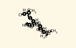 CCOP(=O)(CN1CCOC(CNc2ccc(S(=O)(=O)NC(=O)c3ccc(N4CCN(CC5=C(c6ccc(Cl)cc6)CC(C)(C)CC5)CC4)cc3N3CCOc4nc5[nH]ccc5cc43)cc2[N+](=O)[O-])C1)OCC